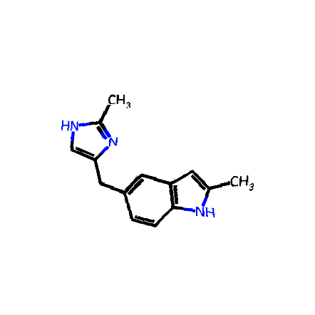 Cc1cc2cc(Cc3c[nH]c(C)n3)ccc2[nH]1